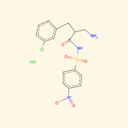 Cl.NCC(Cc1cccc(Cl)c1)C(=O)NS(=O)(=O)c1ccc([N+](=O)[O-])cc1